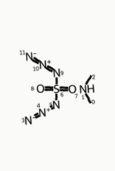 CNC.[N-]=[N+]=NS(=O)(=O)N=[N+]=[N-]